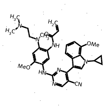 C=CC(=O)Nc1cc(Nc2ncc(C#N)c(-c3cn(C4CC4)c4c(OC)cccc34)n2)c(OC)cc1N(C)CCN(C)C